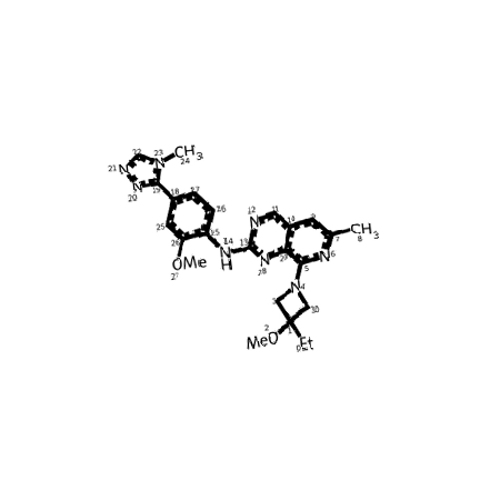 CCC1(OC)CN(c2nc(C)cc3cnc(Nc4ccc(-c5nncn5C)cc4OC)nc23)C1